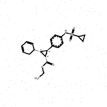 CCOC(=O)[C@H]1[C@H](c2ccc(NS(=O)(=O)C3CC3)cc2)[C@H]1C1C=CC=CC1